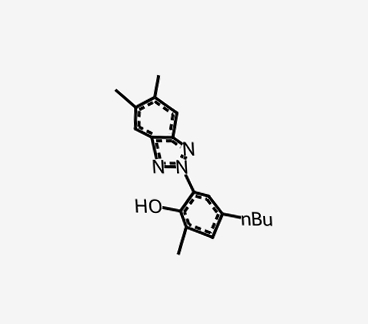 CCCCc1cc(C)c(O)c(-n2nc3cc(C)c(C)cc3n2)c1